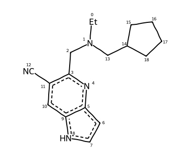 CCN(Cc1nc2cc[nH]c2cc1C#N)CC1CCCC1